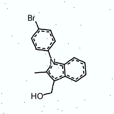 Cc1c(CO)c2ccccc2n1-c1ccc(Br)cc1